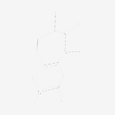 CC1CCc2cn(C)c(=O)cc2N(C)C1=O